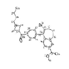 COC(=O)c1ccc2c(c1)CCCC(Br)=C2c1ccc(C(=O)C2CN(CCCF)C2)cc1